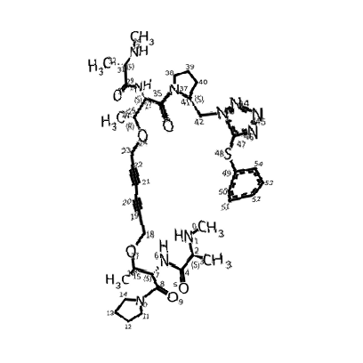 CN[C@@H](C)C(=O)N[C@H](C(=O)N1CCCC1)[C@@H](C)OCC#CC#CCO[C@H](C)[C@H](NC(=O)[C@H](C)NC)C(=O)N1CCC[C@H]1Cn1nnnc1Sc1ccccc1